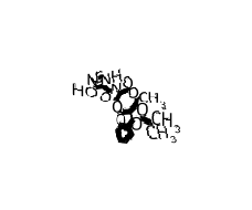 CC(C)C(=O)O[C@H]1[C@H](C)OC(=O)[C@@H](NC(=O)c2nsnc2O)COC(=O)[C@@H]1Cc1ccccc1